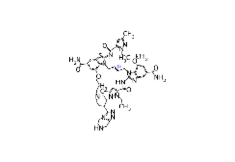 CCn1nc(C)cc1C(=O)/N=c1\sc2cc(C(N)=O)cc(OCCCN3CCC(c4nnc5n4CCNC5)CC3)c2n1C/C=C/Cn1c(NC(=O)c2cc(C)nn2CC)nc2cc(C(N)=O)cc(OC)c21